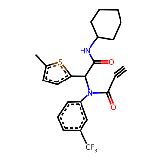 C#CC(=O)N(c1cccc(C(F)(F)F)c1)C(C(=O)NC1CCCCC1)c1ccc(C)s1